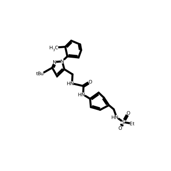 CCS(=O)(=O)NCc1ccc(NC(=O)NCc2cc(C(C)(C)C)nn2-c2ccccc2C)cc1